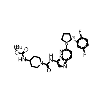 CC(C)(C)OC(=O)NC1CCN(C(=O)Nc2cnc3ccc(N4CCC[C@@H]4c4cc(F)ccc4F)nn23)CC1